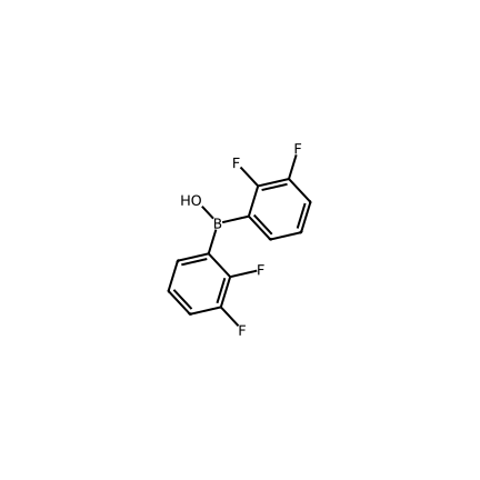 OB(c1cccc(F)c1F)c1cccc(F)c1F